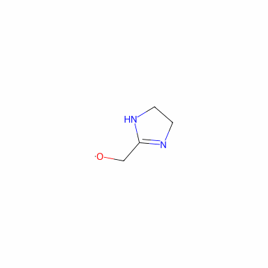 [O]CC1=NCCN1